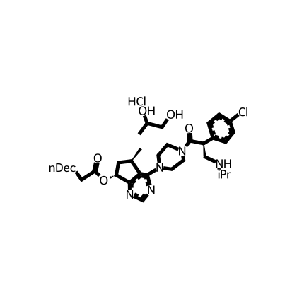 CC(O)CO.CCCCCCCCCCCC(=O)O[C@@H]1C[C@@H](C)c2c1ncnc2N1CCN(C(=O)[C@H](CNC(C)C)c2ccc(Cl)cc2)CC1.Cl